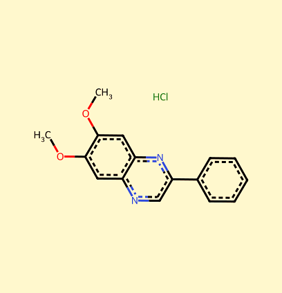 COc1cc2ncc(-c3ccccc3)nc2cc1OC.Cl